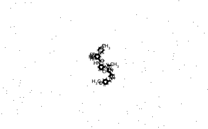 COc1ccc(Cn2cc(-c3cc4n(-c5cc(NC(=O)c6cc(N7CCN(C)CC7)cc(S(F)(F)(F)(F)F)c6)ccc5C)cc(C)n4n3)cn2)cc1